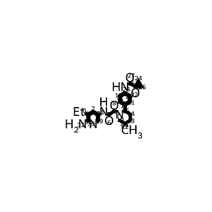 CCc1cc(NC(=O)C(=O)N2C[C@@H](C)CCC2c2ccc3c(c2)OC2(CC2)C(=O)N3)cnc1N